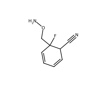 N#CC1C=CC=CC1(F)CON